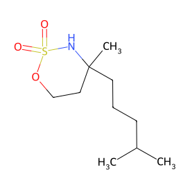 CC(C)CCCC1(C)CCOS(=O)(=O)N1